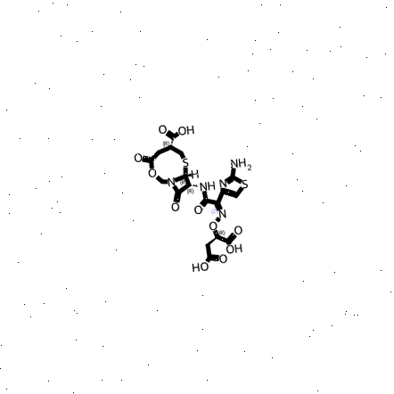 Nc1nc(/C(=N/O[C@H](CC(=O)O)C(=O)O)C(=O)N[C@@H]2C(=O)N3COC(=O)C[C@H](C(=O)O)CS[C@H]23)cs1